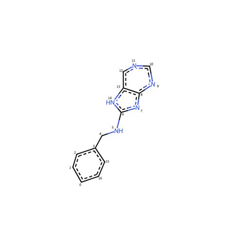 c1ccc(CNc2nc3ncncc3[nH]2)cc1